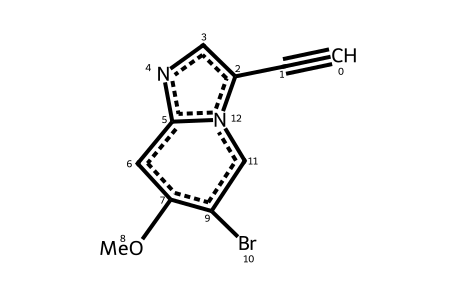 C#Cc1cnc2cc(OC)c(Br)cn12